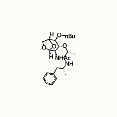 CCCCO[C@H]1[C@H](O[C@H](C)CN[C@H](C)Cc2ccccc2)[C@@H](NC(C)=O)[C@@H]2OC[C@H]1O2